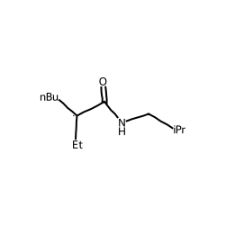 CCCC[C](CC)C(=O)NCC(C)C